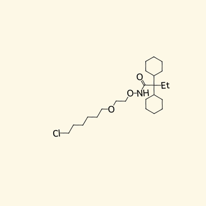 CCC(C(=O)NOCCOCCCCCCCl)(C1CCCCC1)C1CCCCC1